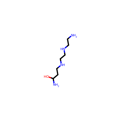 NCCNCCNCCC(N)O